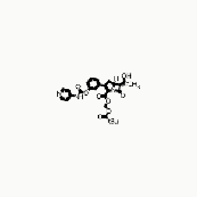 C[C@@H](O)[C@H]1C(=O)N2C(C(=O)OCOC(=O)C(C)(C)C)=C(c3cccc(OC(=O)Nc4ccncc4)c3)C[C@H]12